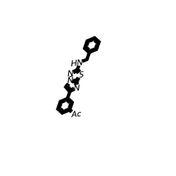 CC(=O)c1cccc(-c2cn3nc(NCc4ccccc4)sc3n2)c1